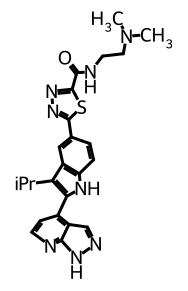 CC(C)c1c(-c2ccnc3[nH]ncc23)[nH]c2ccc(-c3nnc(C(=O)NCCN(C)C)s3)cc12